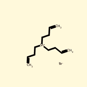 C=CC[CH2][Sn+]([CH2]CC=C)[CH2]CC=C.[Br-]